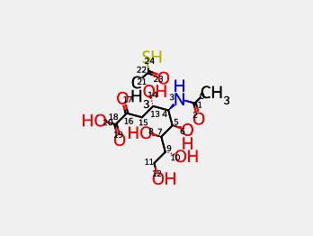 CC(=O)N[C@@H]([C@@H](O)[C@H](O)[C@H](O)CO)[C@@H](O)CC(=O)C(=O)O.CC(=O)S